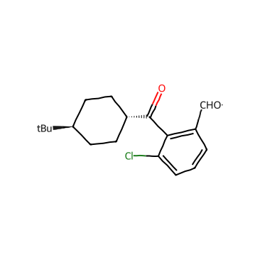 CC(C)(C)[C@H]1CC[C@H](C(=O)c2c(Cl)cccc2[C]=O)CC1